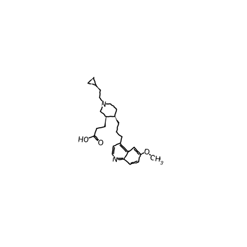 COc1ccc2nccc(CCC[C@@H]3CCN(CCC4CC4)C[C@@H]3CCC(=O)O)c2c1